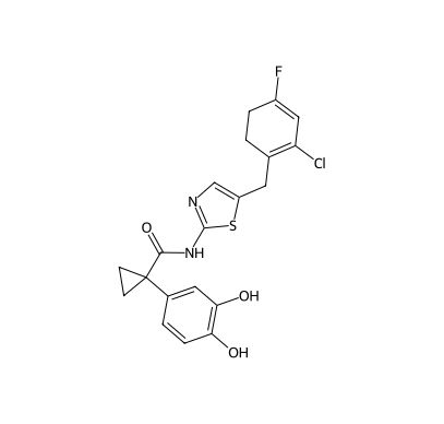 O=C(Nc1ncc(CC2=C(Cl)C=C(F)CC2)s1)C1(c2ccc(O)c(O)c2)CC1